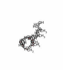 C=C1C[C@@H]2CCO[C@H]3[C@@H]4O[C@H]5CC[C@H](CC(=O)O[C@@H]6[C@@H](C)[C@@H]7O[C@@H]8C[C@]9(C[C@@H]%10O[C@]%11(C[C@H](C)[C@@H]%12O[C@H]([C@@H](O)C[C@@H](O)CO)C[C@@H]%12O%11)C[C@H](C)[C@@H]%10O9)O[C@@H]8C[C@@H]7O[C@H]6C[C@H]6O[C@@H](CCC1O2)C[C@@H](C)C6=C)O[C@@H]5[C@@H]1OC[C@@H]3O[C@@H]14